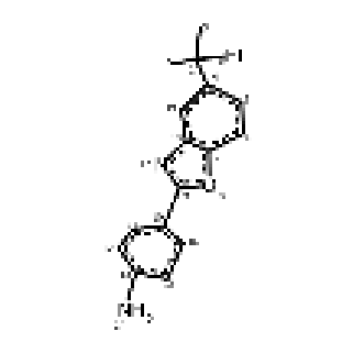 CCC(C)(C)c1ccc2oc(-c3ccc(N)cc3)nc2c1